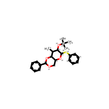 CC1C2OC(c3ccccc3)OCC2OC(Sc2ccccc2)C1O[Si](C)(C)C(C)(C)C